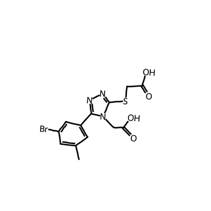 Cc1cc(Br)cc(-c2nnc(SCC(=O)O)n2CC(=O)O)c1